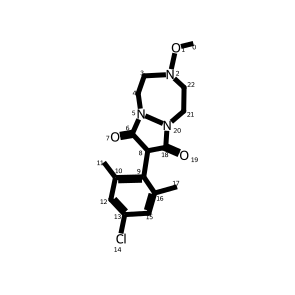 CON1CCN2C(=O)C(c3c(C)cc(Cl)cc3C)C(=O)N2CC1